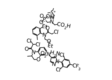 CC1COc2ccccc2N1C(=O)C(Cl)Cl.CCOCN(C(=O)CCl)c1c(C)cccc1CC.C[S+](C)C.Nc1c([N+](=O)[O-])cnn1-c1c(Cl)cc(C(F)(F)F)cc1Cl.O=C(O)CNCP(=O)([O-])O